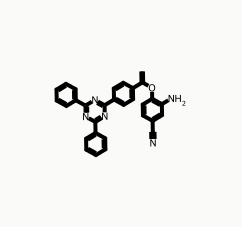 C=C(Oc1ccc(C#N)cc1N)c1ccc(-c2nc(-c3ccccc3)nc(-c3ccccc3)n2)cc1